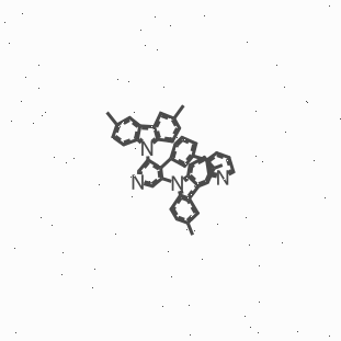 Cc1ccc2c(c1)c1cc(C)ccc1n2-c1cncc(-n2c3ccc(C)cc3c3cc(C)ccc32)c1-c1cccc(-c2cccnc2)c1